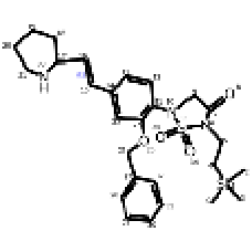 C[Si](C)(C)CCN1C(=O)CN(c2ccc(/C=C/C3CCCCN3)cc2OCc2ccccc2)S1(=O)=O